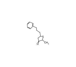 CC1SC(CCCc2ccccc2)CC1=O